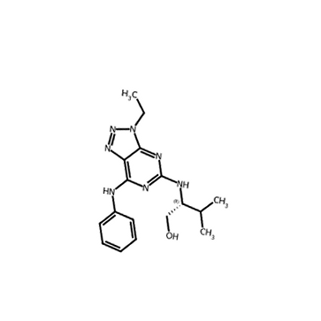 CCn1nnc2c(Nc3ccccc3)nc(N[C@@H](CO)C(C)C)nc21